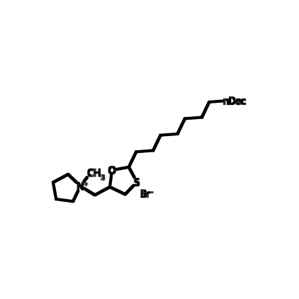 CCCCCCCCCCCCCCCCCC1OC(C[N+]2(C)CCCC2)CS1.[Br-]